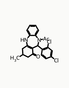 CC(=O)N1c2ccccc2NC2=C(C(=O)CC(C)C2)C1c1ccc(Cl)cc1Cl